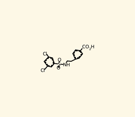 O=C(O)c1ccc(CCNS(=O)(=O)c2cc(Cl)cc(Cl)c2)cc1